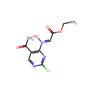 CCOC(=O)/C=[N+](\O)c1nc(Cl)ncc1C(C)=O